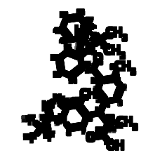 Cc1ccc(C(c2ccn3c(C(F)(F)F)nnc3c2C)[C@@H](C)C(=O)O)cc1CO[Si](c1ccccc1)(c1ccccc1)C(C)(C)C